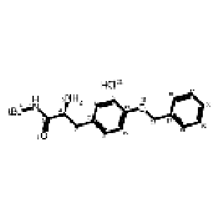 CC(C)(C)NC(=O)[C@@H](N)Cc1ccc(OCc2ccccc2)cc1.Cl